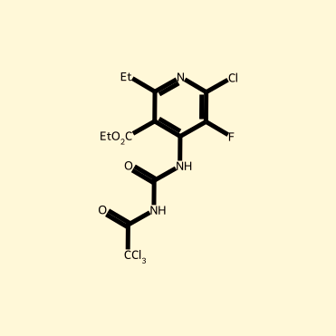 CCOC(=O)c1c(CC)nc(Cl)c(F)c1NC(=O)NC(=O)C(Cl)(Cl)Cl